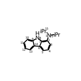 CC(C)N(c1cccc2c1[nH]c1ccccc12)C(C)C